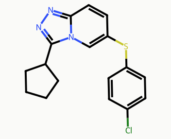 Clc1ccc(Sc2ccc3nnc(C4CCCC4)n3c2)cc1